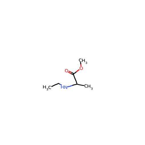 CCNC(C)C(=O)OC